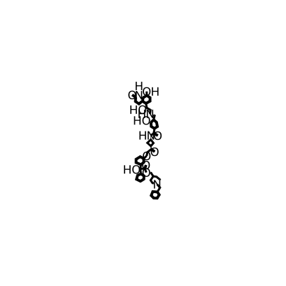 O=C(N[C@H]1C[C@H](C(=O)COc2cccc(C(O)(C(=O)OCC3CCN(Cc4ccccc4)CC3)c3ccccc3)c2)C1)c1ccc(CNC[C@H](O)c2ccc(O)c3[nH]c(=O)ccc23)c(O)c1